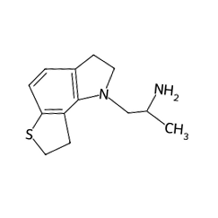 CC(N)CN1CCc2ccc3c(c21)CCS3